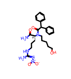 NC(=O)[C@@H](CCCNC(N)=N[N+](=O)[O-])N(CCCCCO)C(=O)C(c1ccccc1)c1ccccc1